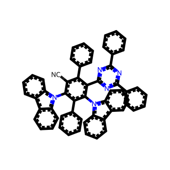 N#Cc1c(-c2ccccc2)c(-c2nc(-c3ccccc3)nc(-c3ccccc3)n2)c(-n2c3ccccc3c3ccccc32)c(-c2ccccc2)c1-n1c2ccccc2c2ccccc21